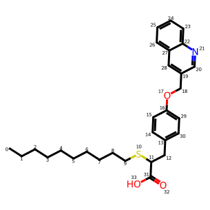 CCCCCCCCCCSC(Cc1ccc(OCc2cnc3ccccc3c2)cc1)C(=O)O